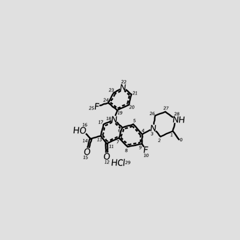 CC1CN(c2cc3c(cc2F)c(=O)c(C(=O)O)cn3-c2ccncc2F)CCN1.Cl